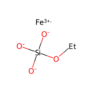 CCO[Si]([O-])([O-])[O-].[Fe+3]